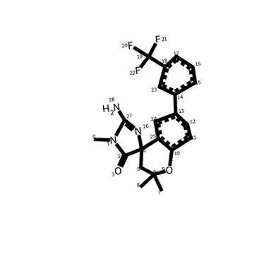 CN1C(=O)C2(CC(C)(C)Oc3ccc(-c4cccc(C(F)(F)F)c4)cc32)N=C1N